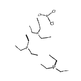 CCP(CC)CC.CCP(CC)CC.CCP(CC)CC.[Cl][Ir]([Cl])[Cl]